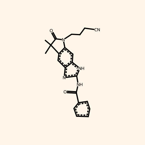 CC1(C)C(=O)N(CCCC#N)c2cc3[nH]c(NC(=O)c4ccccc4)nc3cc21